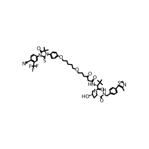 Cc1ncsc1-c1ccc(CNC(=O)[C@@H]2C[C@@H](O)CN2C(=O)[C@@H](NC(=O)CC(=O)CCCOCCCCCOc2ccc(N3C(=S)N(c4ccc(C#N)c(C(F)(F)F)c4)C(=O)C3(C)C)cc2)C(C)(C)C)cc1